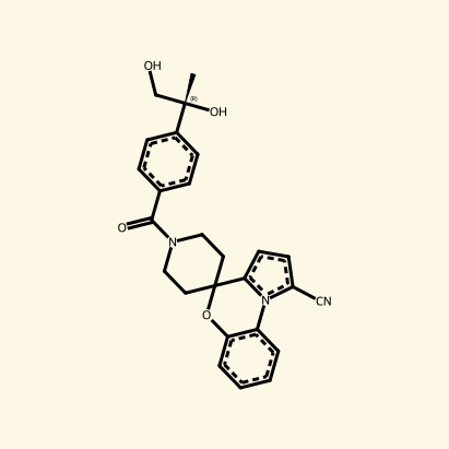 C[C@](O)(CO)c1ccc(C(=O)N2CCC3(CC2)Oc2ccccc2-n2c(C#N)ccc23)cc1